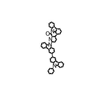 O=c1c2nc(-n3c4ccccc4c4cc(-c5ccc6c(c5)c5ccccc5n6-c5ccccc5)ccc43)ccc2c2cccc3c4ccccc4n1c23